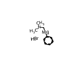 Br.CN(C)[CH2][Mg][c]1ccccc1